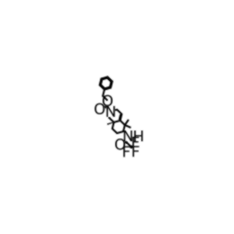 CC1(C)C2=CCN(C(=O)OCc3ccccc3)C[C@@]2(C)CC[C@@H]1NC(=O)C(F)(F)F